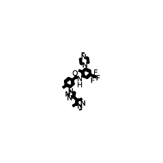 Cc1ccc(C(=O)Nc2cc(C(F)(F)F)cc(N3CCN(C)CC3)c2C)cc1-n1cc(-c2cnn(C)c2C)nn1